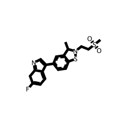 CC1c2cc(C3=CN=C4CC(F)=CC=C34)ccc2SN1CCS(C)(=O)=O